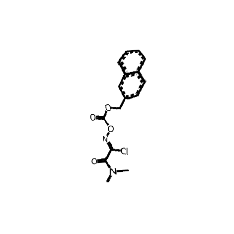 CN(C)C(=O)C(Cl)=NOC(=O)OCc1ccc2ccccc2c1